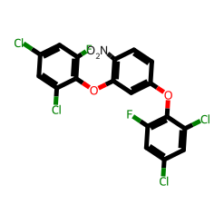 O=[N+]([O-])c1ccc(Oc2c(F)cc(Cl)cc2Cl)cc1Oc1c(F)cc(Cl)cc1Cl